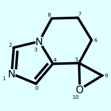 c1ncn2c1C1(CCC2)CO1